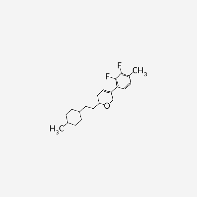 Cc1ccc(C2=CCC(CCC3CCC(C)CC3)OC2)c(F)c1F